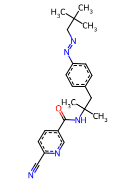 CC(C)(C)C/N=N/c1ccc(CC(C)(C)NC(=O)c2ccc(C#N)nc2)cc1